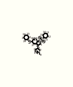 Cn1cc(-c2cn(S(=O)(=O)c3ccccc3)c3ncc(Sc4ccccc4)cc23)cn1